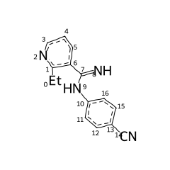 CCc1ncccc1C(=N)Nc1ccc(C#N)cc1